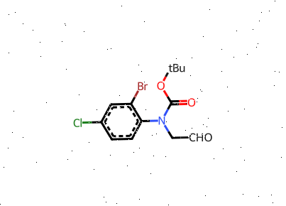 CC(C)(C)OC(=O)N(CC=O)c1ccc(Cl)cc1Br